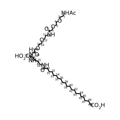 CC(=O)NCCOCCOCC(=O)NCCOCCOCC(=O)N[C@@](N)(CCCCNC(=O)CCCCCCCCCCCCCCCCCCCCC(=O)O)C(=O)O